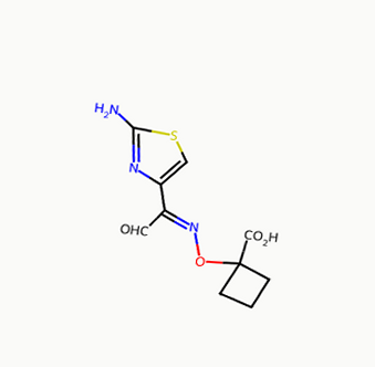 Nc1nc(/C(C=O)=N/OC2(C(=O)O)CCC2)cs1